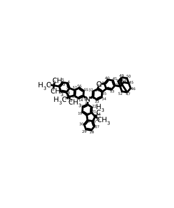 CC(C)(C)c1ccc2c(c1)C(C)(C)c1cc(N(c3ccc4c(c3)C(C)(C)c3ccccc3-4)c3ccc4c(c3)oc3ccc(C56CC7CC(CC(C7)C5)C6)cc34)ccc1-2